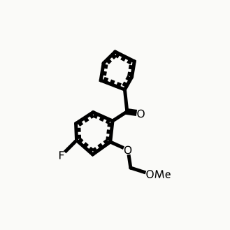 COCOc1cc(F)ccc1C(=O)c1ccccc1